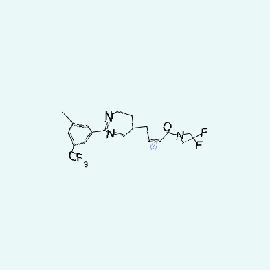 Cc1cc(C2=NCCC(C/C=C\C(=O)N3CC(F)(F)C3)C=N2)cc(C(F)(F)F)c1